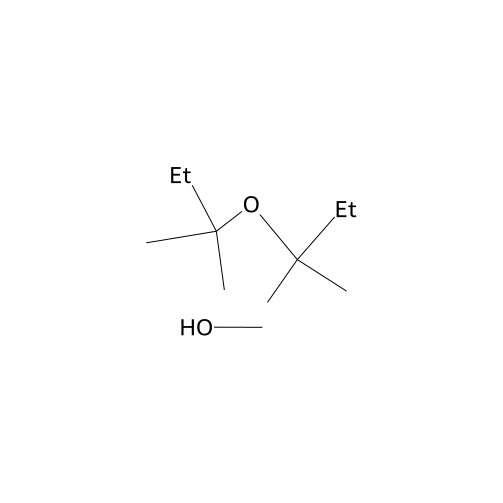 CCC(C)(C)OC(C)(C)CC.CO